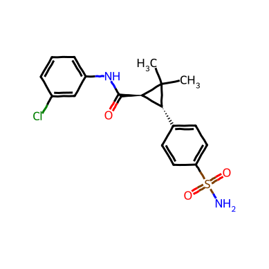 CC1(C)[C@H](C(=O)Nc2cccc(Cl)c2)[C@H]1c1ccc(S(N)(=O)=O)cc1